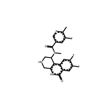 Cc1ncc(C(=O)N(C)C2CNCc3[nH]c(=O)c4cc(F)c(F)cc4c32)cc1F